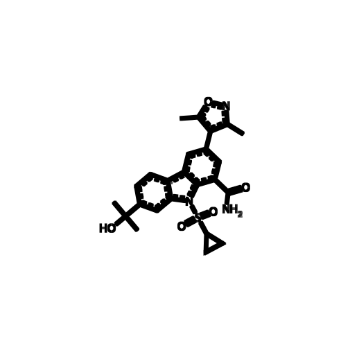 Cc1noc(C)c1-c1cc(C(N)=O)c2c(c1)c1ccc(C(C)(C)O)cc1n2S(=O)(=O)C1CC1